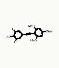 COc1cc(OC)c(C#Cc2cc(F)c(C#N)c(F)c2)c(OC)c1